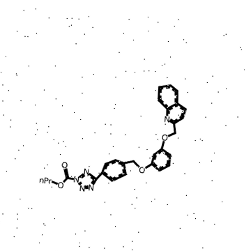 CCCOC(=O)n1nnc(-c2ccc(COc3cccc(OCc4ccc5ccccc5n4)c3)cc2)n1